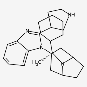 C[C@H](C1CCCCC1)N1C2CCC1CC(n1c(C3CCNC3)nc3ccccc31)C2